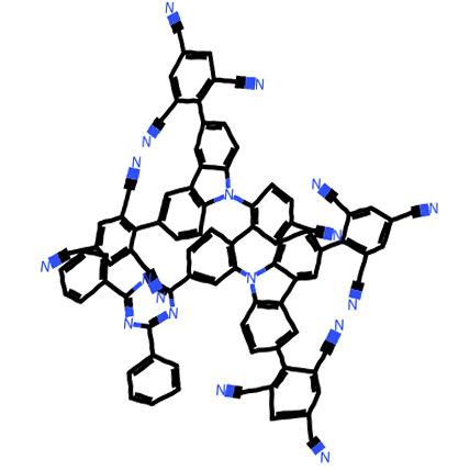 N#Cc1cc(C#N)c(-c2ccc3c(c2)c2cc(-c4c(C#N)cc(C#N)cc4C#N)ccc2n3-c2ccc(C#N)cc2-c2ccc(-c3nc(-c4ccccc4)nc(-c4ccccc4)n3)cc2-n2c3ccc(-c4c(C#N)cc(C#N)cc4C#N)cc3c3cc(-c4c(C#N)cc(C#N)cc4C#N)ccc32)c(C#N)c1